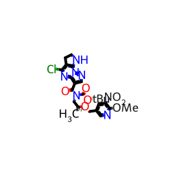 COc1ncc(CO[C@H](C)CN(C(=O)OC(C)(C)C)C(=O)c2cnn3c4c(c(Cl)nc23)CCN4)cc1[N+](=O)[O-]